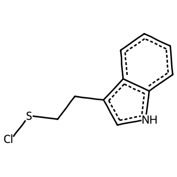 ClSCCc1c[nH]c2ccccc12